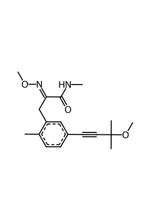 CNC(=O)/C(Cc1cc(C#CC(C)(C)OC)ccc1C)=N/OC